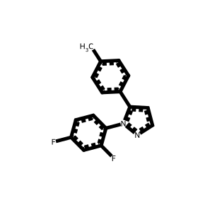 Cc1ccc(-c2ccnn2-c2ccc(F)cc2F)cc1